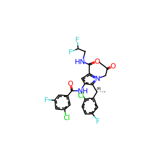 CC(=O)Cn1c(C(=O)NCC(F)F)cc(NC(=O)c2cc(F)cc(Cl)c2)c1[C@H](C)c1cc(F)ccc1Cl